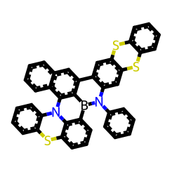 c1ccc(N2B3c4cccc5c4N(c4ccccc4S5)c4c3c(cc3ccccc43)-c3cc4c(cc32)Sc2ccccc2S4)cc1